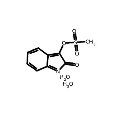 CS(=O)(=O)OC1=c2ccccc2=NC1=O.O.O